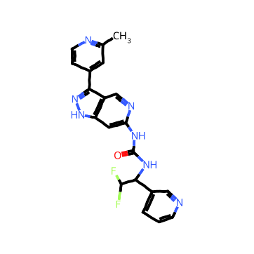 Cc1cc(-c2n[nH]c3cc(NC(=O)NC(c4cccnc4)C(F)F)ncc23)ccn1